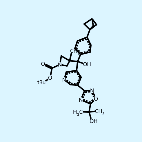 CC(C)(C)OC(=O)N1CC(C)(C(O)(c2ccc(C34CC(C3)C4)cc2)c2cncc(-c3noc(C(C)(C)O)n3)c2)C1